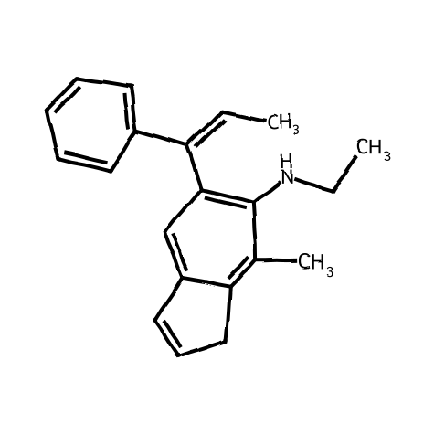 C/C=C(/c1ccccc1)c1cc2c(c(C)c1NCC)CC=C2